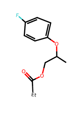 CCC(=O)OCC(C)Oc1ccc(F)cc1